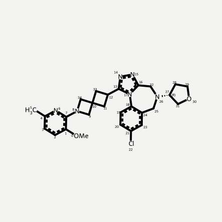 COc1ccc(C)nc1N1CC2(CC(c3nnc4n3-c3ccc(Cl)cc3CN([C@@H]3CCOC3)C4)C2)C1